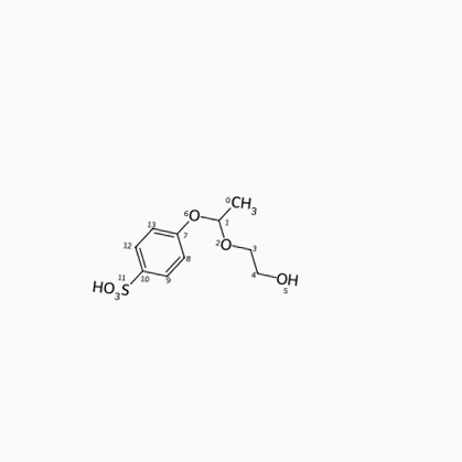 CC(OCCO)Oc1ccc(S(=O)(=O)O)cc1